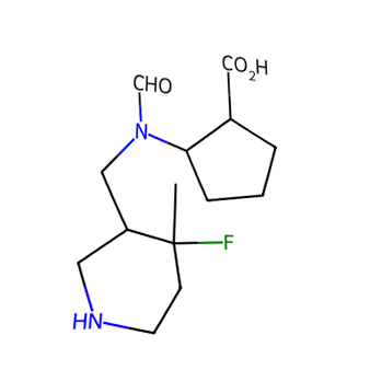 CC1(F)CCNCC1CN(C=O)C1CCCC1C(=O)O